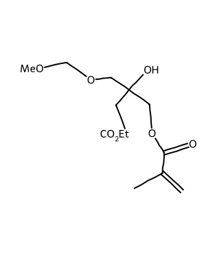 C=C(C)C(=O)OCC(O)(COCOC)CC(=O)OCC